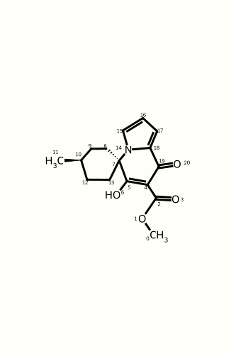 COC(=O)C1=C(O)[C@]2(CC[C@H](C)CC2)n2cccc2C1=O